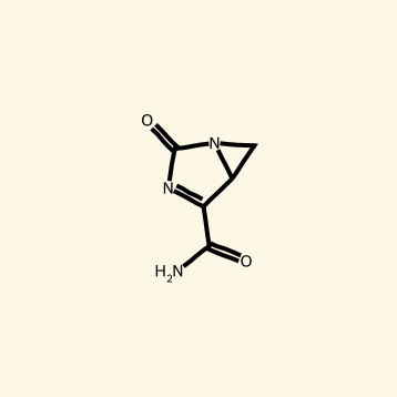 NC(=O)C1=NC(=O)N2CC12